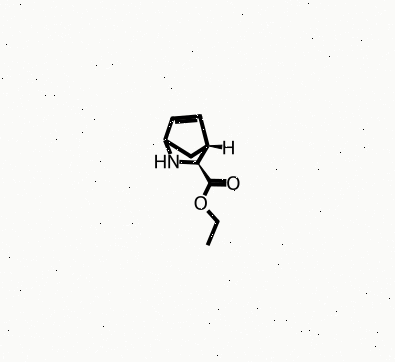 CCOC(=O)[C@H]1NC2C=C[C@H]1C2